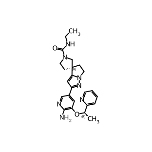 CCNC(=O)N1CC[C@@]2(CCn3nc(-c4cnc(N)c(O[C@H](C)c5ccccn5)c4)cc32)C1